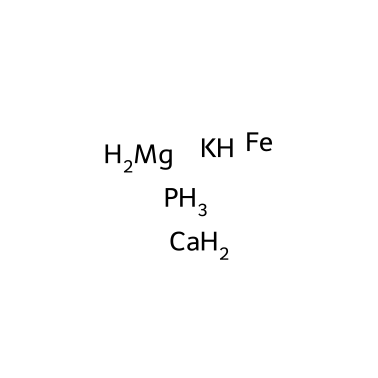 P.[CaH2].[Fe].[KH].[MgH2]